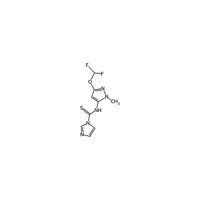 Cn1nc(OC(F)F)cc1NC(=S)n1ccnc1